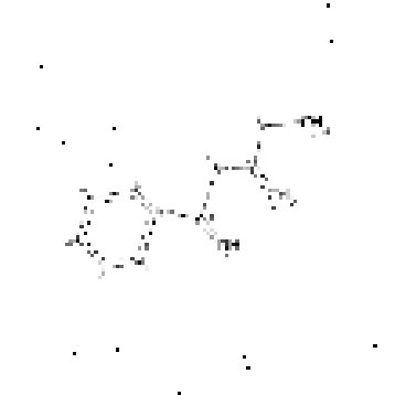 C=C(CC)SC(=N)c1ccccc1